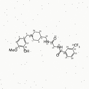 COc1ccc(CN2CCC(CNC(=O)CNC(=O)c3cccc(C(F)(F)F)c3)CC2)cc1O